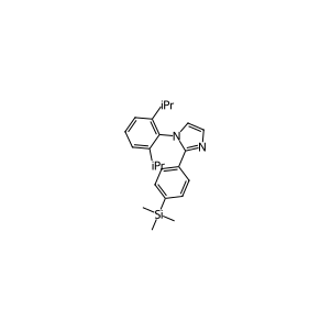 CC(C)c1cccc(C(C)C)c1-n1ccnc1-c1ccc([Si](C)(C)C)cc1